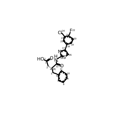 O=C(O)C[C@@H](Cc1ccccc1)C(=O)Nc1nc(-c2ccc(F)c(Cl)c2)cs1